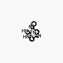 FC1(F)CNCC1Nc1cccc(-c2cnc3ccc(-c4cnn5c4CCCC5)nn23)n1